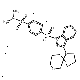 CN(C)S(=O)(=O)c1ccc(S(=O)(=O)n2nc(N3CCCC34CCCOC4)c3ccccc32)cc1